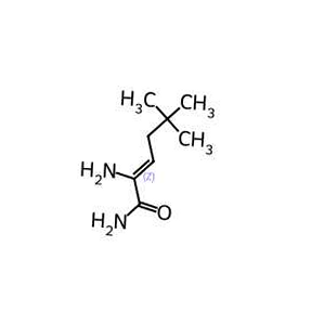 CC(C)(C)C/C=C(\N)C(N)=O